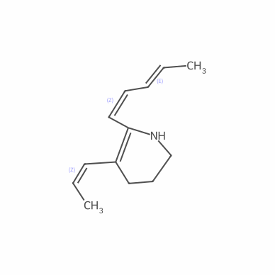 C/C=C\C1=C(/C=C\C=C\C)NCCC1